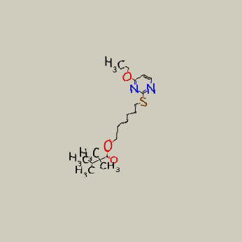 CCOc1ccnc(SCCCCCCOC(=O)C(C)(C)C(C)C)n1